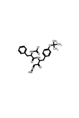 CC(C)(C)Oc1ccc(CC(NC(=O)C(Cc2ccccc2)NC(=O)[O-])C(=O)C=[N+]=N)cc1